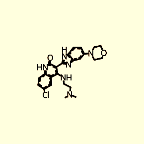 CN(C)CCNc1c(-c2nc3cc(N4CCOCC4)ccc3[nH]2)c(=O)[nH]c2ccc(Cl)cc12